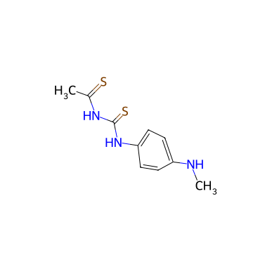 CNc1ccc(NC(=S)NC(C)=S)cc1